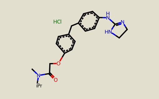 CC(C)N(C)C(=O)COc1ccc(Cc2ccc(NC3=NCCN3)cc2)cc1.Cl